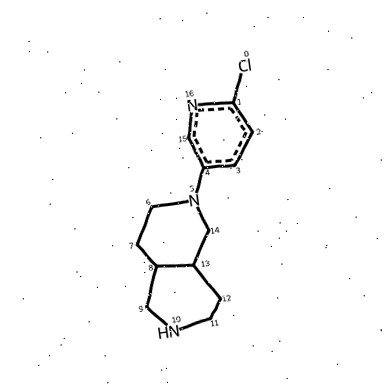 Clc1ccc(N2CCC3CNCCC3C2)cn1